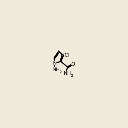 Cl.NC(=O)c1cccn1N